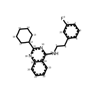 Fc1cccc(CCNc2nc(C3CCCCC3)nc3ccccc23)c1